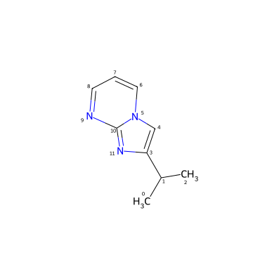 CC(C)c1cn2cccnc2n1